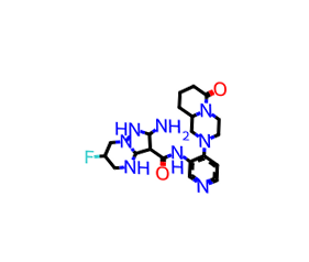 NC1NN2CC(F)CNC2C1C(=O)Nc1cnccc1N1CCN2C(=O)CCCC2C1